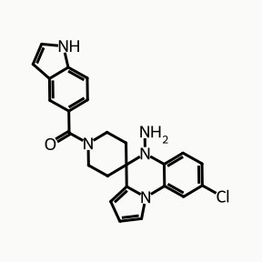 NN1c2ccc(Cl)cc2-n2cccc2C12CCN(C(=O)c1ccc3[nH]ccc3c1)CC2